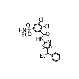 CCNS(=O)(=O)c1cc(Cl)c(Cl)c(C(=O)Nc2nnc(C(CC)c3ccccc3)s2)c1